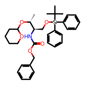 C[C@@H](OC1CCCCO1)[C@@H](CO[Si](c1ccccc1)(c1ccccc1)C(C)(C)C)NC(=O)OCc1ccccc1